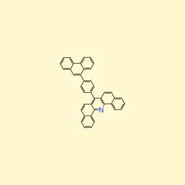 c1ccc2c(c1)cc(-c1ccc(-c3c4ccc5ccccc5c4nc4c3ccc3ccccc34)cc1)c1ccccc12